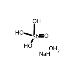 O.[NaH].[O]=[Sb]([OH])([OH])[OH]